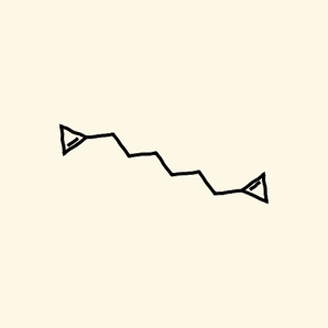 C1=C(CCCCCCC2=CC2)C1